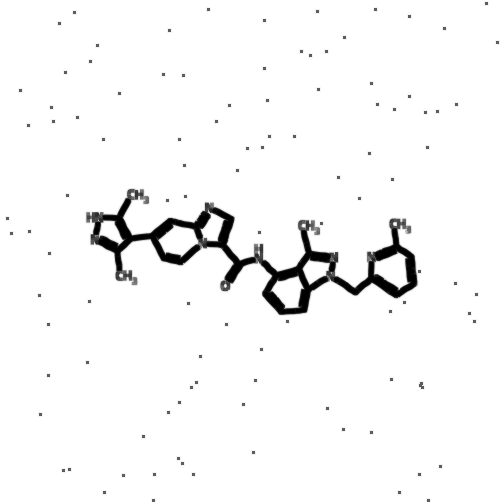 Cc1cccc(Cn2nc(C)c3c(NC(=O)c4cnc5cc(-c6c(C)n[nH]c6C)ccn45)cccc32)n1